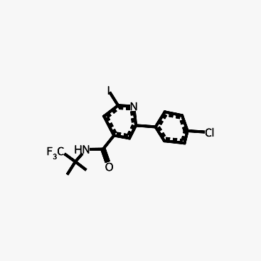 CC(C)(NC(=O)c1cc(I)nc(-c2ccc(Cl)cc2)c1)C(F)(F)F